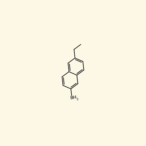 Bc1ccc2cc(CC)ccc2c1